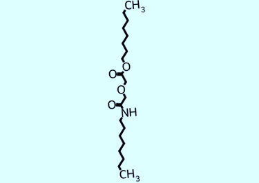 CCCCCCCCNC(=O)COCC(=O)OCCCCCCCC